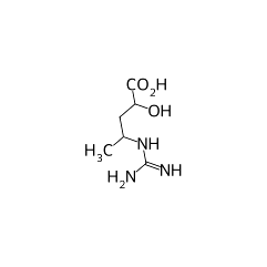 CC(CC(O)C(=O)O)NC(=N)N